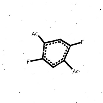 CC(=O)c1cc(F)c(C(C)=O)cc1F